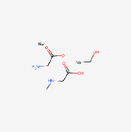 CNCC(=O)O.NCC(=O)[O-].O[CH2][Na].[Na+]